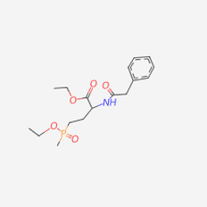 CCOC(=O)C(CCP(C)(=O)OCC)NC(=O)Cc1ccccc1